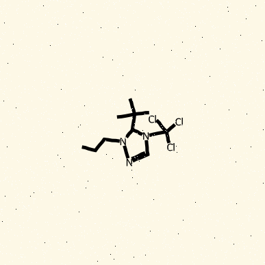 CCCN1N=CN(C(Cl)(Cl)Cl)C1C(C)(C)C